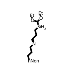 CCCCCCCCCCCCN=CCC[SiH2]C(OCC)OCC